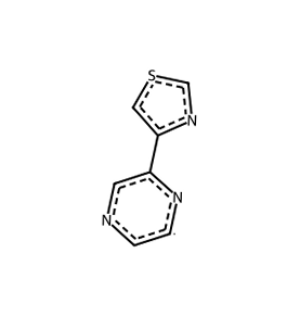 [c]1cncc(-c2cscn2)n1